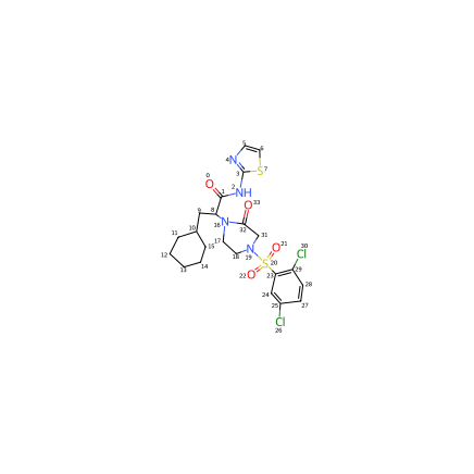 O=C(Nc1nccs1)C(CC1CCCCC1)N1CCN(S(=O)(=O)c2cc(Cl)ccc2Cl)CC1=O